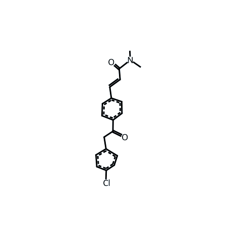 CN(C)C(=O)/C=C/c1ccc(C(=O)Cc2ccc(Cl)cc2)cc1